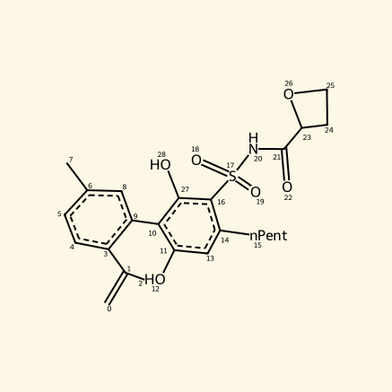 C=C(C)c1ccc(C)cc1-c1c(O)cc(CCCCC)c(S(=O)(=O)NC(=O)C2CCO2)c1O